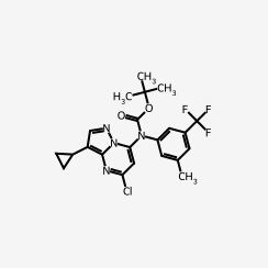 Cc1cc(N(C(=O)OC(C)(C)C)c2cc(Cl)nc3c(C4CC4)cnn23)cc(C(F)(F)F)c1